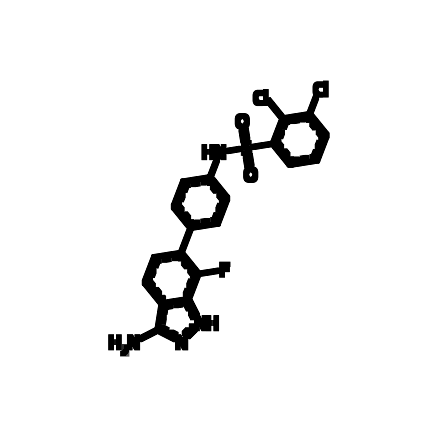 Nc1n[nH]c2c(F)c(-c3ccc(NS(=O)(=O)c4cccc(Cl)c4Cl)cc3)ccc12